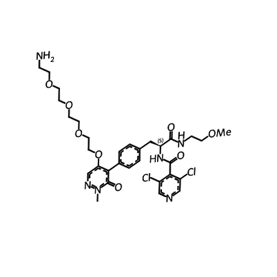 COCCNC(=O)[C@H](Cc1ccc(-c2c(OCCOCCOCCOCCN)cnn(C)c2=O)cc1)NC(=O)c1c(Cl)cncc1Cl